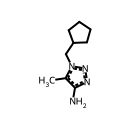 Cc1c(N)nnn1CC1CCCC1